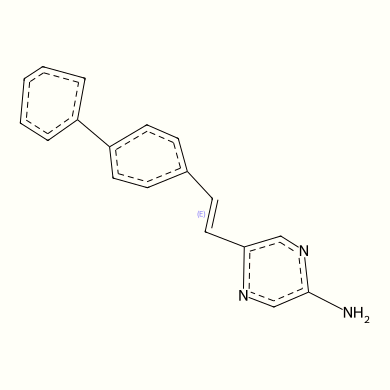 Nc1cnc(/C=C/c2ccc(-c3ccccc3)cc2)cn1